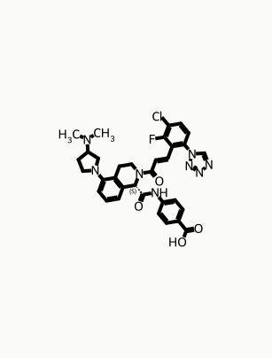 CN(C)C1CCN(c2cccc3c2CCN(C(=O)C=Cc2c(-n4cnnn4)ccc(Cl)c2F)[C@@H]3C(=O)Nc2ccc(C(=O)O)cc2)C1